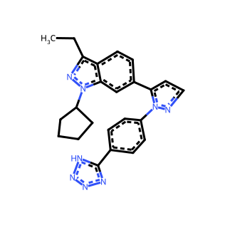 CCc1nn(C2CCCC2)c2cc(-c3ccnn3-c3ccc(-c4nnn[nH]4)cc3)ccc12